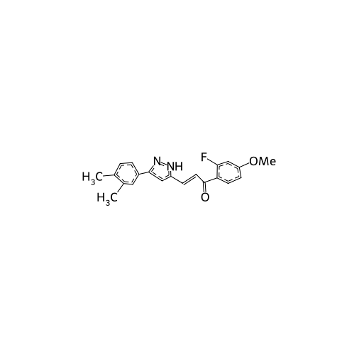 COc1ccc(C(=O)C=Cc2cc(-c3ccc(C)c(C)c3)n[nH]2)c(F)c1